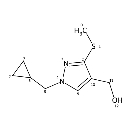 CSc1nn(CC2CC2)cc1CO